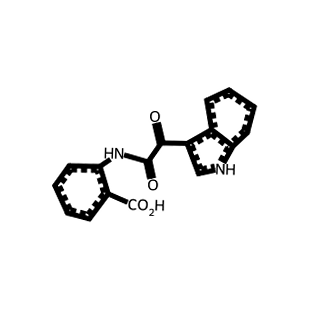 O=C(Nc1ccccc1C(=O)O)C(=O)c1c[nH]c2ccccc12